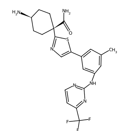 Cc1cc(Nc2nccc(C(F)(F)F)n2)cc(-c2cnc([C@]3(C(N)=O)CC[C@@H](N)CC3)s2)c1